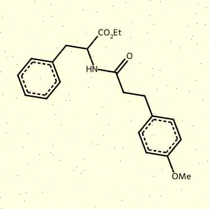 CCOC(=O)C(Cc1ccccc1)NC(=O)CCc1ccc(OC)cc1